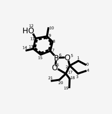 CCC1(CC)OB(c2cc(C)c(O)c(C)c2)OC1(CC)CC